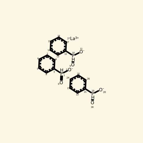 O=[PH]([O-])c1ccccc1.O=[PH]([O-])c1ccccc1.O=[PH]([O-])c1ccccc1.[La+3]